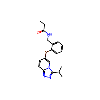 CCC(=O)NCc1ccccc1Sc1ccc2nnc(C(C)C)n2c1